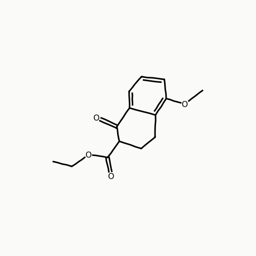 CCOC(=O)C1CCc2c(OC)cccc2C1=O